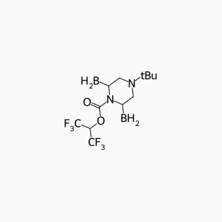 BC1CN(C(C)(C)C)CC(B)N1C(=O)OC(C(F)(F)F)C(F)(F)F